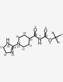 CC(C)(C)OC(=O)NC(=O)C1CCN(C2=NCCN2)CC1